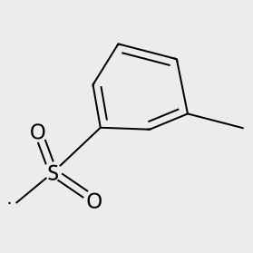 [CH2]S(=O)(=O)c1cccc(C)c1